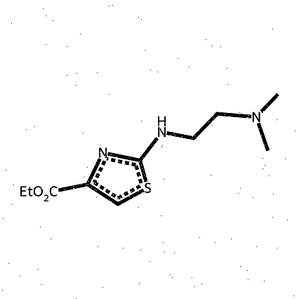 CCOC(=O)c1csc(NCCN(C)C)n1